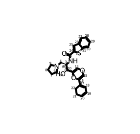 O=C(N[C@H](CN1CCCC1)[C@@H](O)C1=COC=C(C2=CC=CCC2)O1)c1cc2ccccc2s1